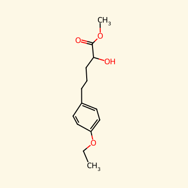 CCOc1ccc(CCCC(O)C(=O)OC)cc1